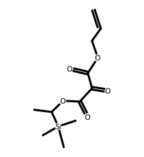 C=CCOC(=O)C(=O)C(=O)OC(C)[Si](C)(C)C